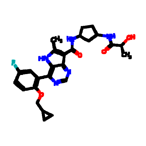 Cc1[nH]c2c(-c3cc(F)ccc3OCC3CC3)ncnc2c1C(=O)NC1CCC(NC(=O)[C@H](C)O)C1